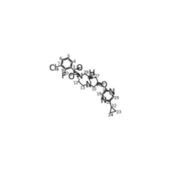 O=S(=O)(c1cccc(Cl)c1F)N1CCN2C[C@H](Oc3cnc(C4CC4)cn3)C[C@H]2C1